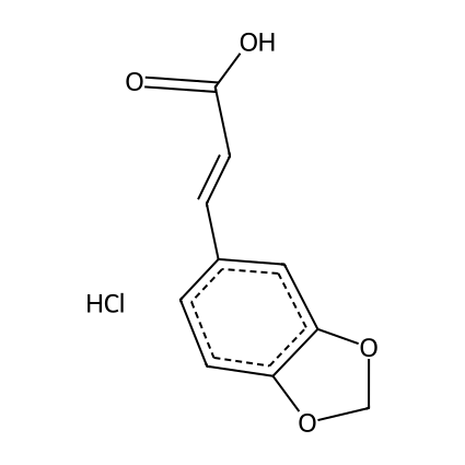 Cl.O=C(O)C=Cc1ccc2c(c1)OCO2